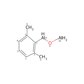 Cc1cccc(C)[c]1[AlH][O][AlH2]